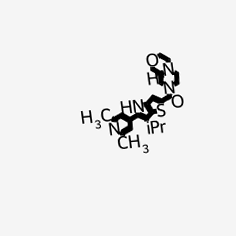 Cc1cc(-c2[nH]c3cc(C(=O)N4CCN5CCOC[C@@H]5C4)sc3c2C(C)C)cc(C)n1